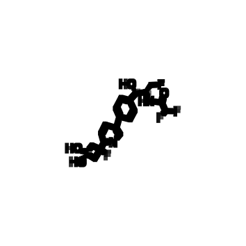 O=C(N[C@H](CF)[C@@H](O)c1ccc(-c2ccc(C3(F)CS(O)(O)C3)nc2)cc1)C(F)F